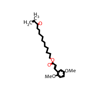 C=C(C)C(=O)CCCCCCCCCCCOC(=O)/C=C/c1cc(OC)ccc1OC